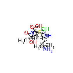 C[C@@H](O)[C@H]1C(=O)N2C(C(=O)O)=C(S[C@@H]3CN[C@H](CCC(C)(C)N)C3)[C@H](C)[C@H]12.Cl